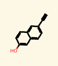 C#Cc1ccc2cc(O)ccc2c1